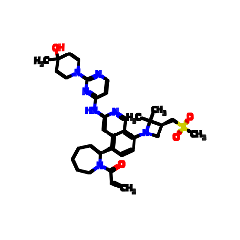 C=CC(=O)N1CCCCC[C@H]1c1ccc(N2C[C@H](CS(C)(=O)=O)C2(C)C)c2cnc(Nc3ccnc(N4CCC(C)(O)CC4)n3)cc12